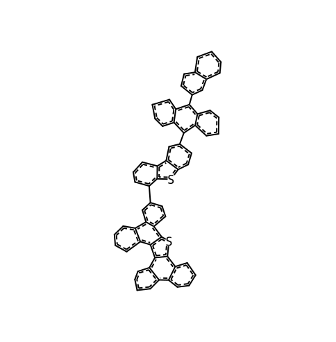 c1ccc2cc(-c3c4ccccc4c(-c4ccc5sc6c(-c7ccc8c(c7)c7ccccc7c7c8sc8c9ccccc9c9ccccc9c87)cccc6c5c4)c4ccccc34)ccc2c1